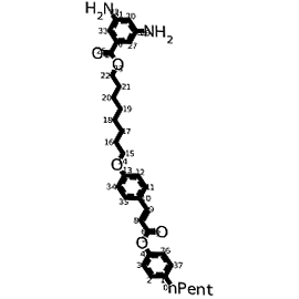 CCCCCc1ccc(OC(=O)C=Cc2ccc(OCCCCCCCCOC(=O)c3cc(N)cc(N)c3)cc2)cc1